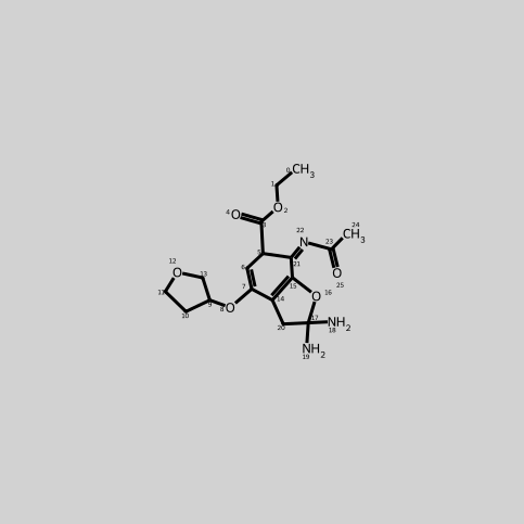 CCOC(=O)C1C=C(OC2CCOC2)C2=C(OC(N)(N)C2)C1=NC(C)=O